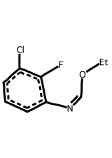 CCO/C=N\c1cccc(Cl)c1F